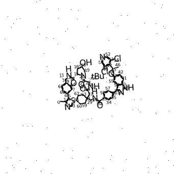 Cc1ncsc1-c1ccc([C@H](C)NC(=O)[C@@H]2C[C@@H](O)CN2C(=O)[C@@H](NC(=O)CC2(CNC(=O)c3ccc(-c4n[nH]c5ccc(O[C@H](C)c6c(Cl)cncc6Cl)cc45)cc3)CCCCC2)C(C)(C)C)cc1